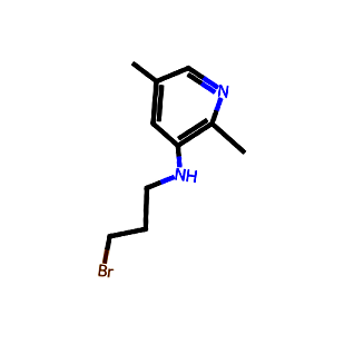 Cc1cnc(C)c(NCCCBr)c1